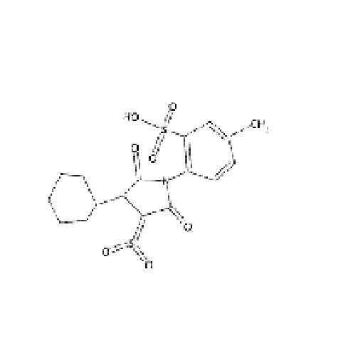 Cc1ccc(N2C(=O)C(=S(=O)=O)C(C3CCCCC3)C2=O)c(S(=O)(=O)O)c1